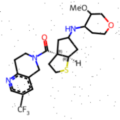 COC1COCCC1NC1C[C@H]2SCC[C@@]2(C(=O)N2CCc3ncc(C(F)(F)F)cc3C2)C1